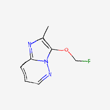 Cc1nc2cccnn2c1OCF